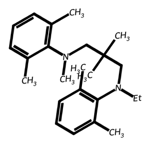 CCN(CC(C)(C)CN(C)c1c(C)cccc1C)c1c(C)cccc1C